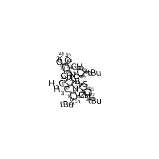 Cc1cc2c3c(c1)N(c1c(C)cc(C(C)(C)C)cc1C)c1c(sc4ccc(C(C)(C)C)cc14)B3c1cc(C(C)(C)C)ccc1N2c1c(C)cc2c(c1C)OCCCO2